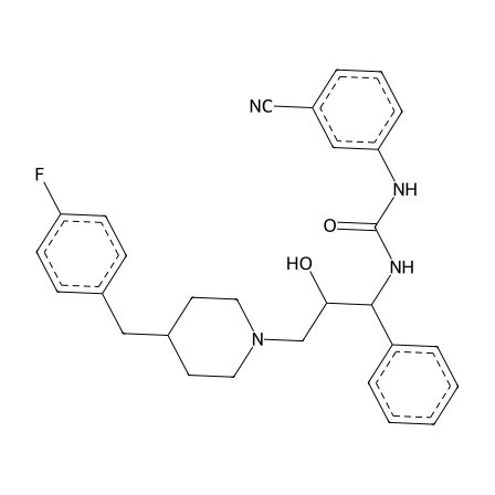 N#Cc1cccc(NC(=O)NC(c2ccccc2)C(O)CN2CCC(Cc3ccc(F)cc3)CC2)c1